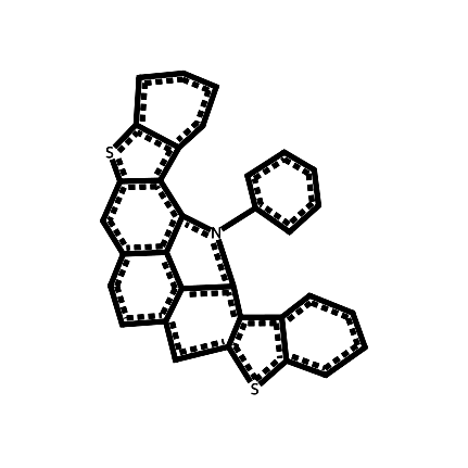 c1ccc(-n2c3c4c(cc5ccc6cc7sc8ccccc8c7c2c6c53)sc2ccccc24)cc1